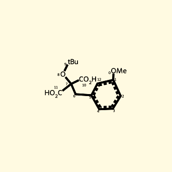 COc1cccc(CC(OC(C)(C)C)(C(=O)O)C(=O)O)c1